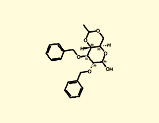 CC1OC[C@H]2O[C@@H](O)[C@H](OCc3ccccc3)[C@@H](OCc3ccccc3)[C@@H]2O1